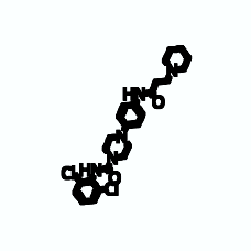 O=C(CCN1CCCCC1)Nc1ccc(N2CCN(C(=O)Nc3c(Cl)cccc3Cl)CC2)cc1